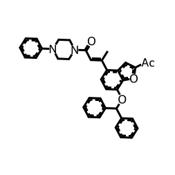 CC(=O)c1cc2c(/C(C)=C/C(=O)N3CCN(c4ccccc4)CC3)ccc(OC(c3ccccc3)c3ccccc3)c2o1